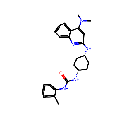 Cc1ccccc1NC(=O)N[C@H]1CC[C@@H](Nc2cc(N(C)C)c3ccccc3n2)CC1